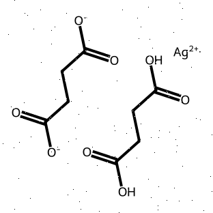 O=C(O)CCC(=O)O.O=C([O-])CCC(=O)[O-].[Ag+2]